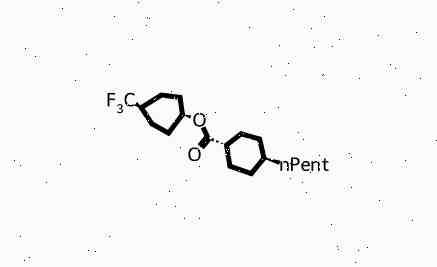 CCCCC[C@H]1CC[C@H](C(=O)O[C@H]2CC[C@H](C(F)(F)F)CC2)CC1